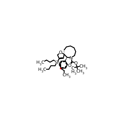 CCC[CH2][Sn]([CH2]CCC)([CH2]CCC)[C]1=C[C@@]2(CCCCCCN(C(=O)OC(C)(C)C)[C@H]2c2ccccc2)OC1